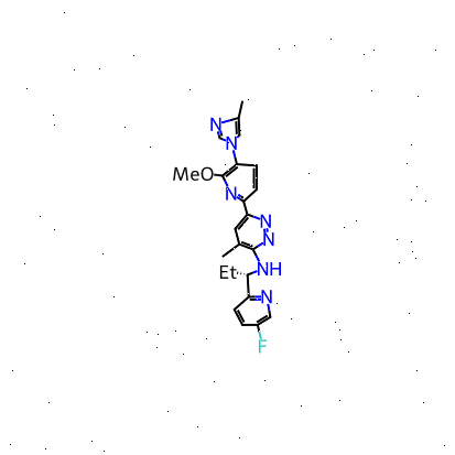 CC[C@H](Nc1nnc(-c2ccc(-n3cnc(C)c3)c(OC)n2)cc1C)c1ccc(F)cn1